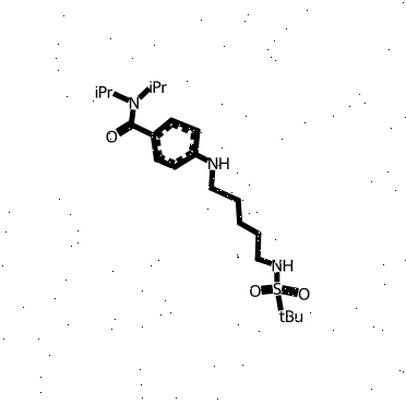 CC(C)N(C(=O)c1ccc(NCCCCCNS(=O)(=O)C(C)(C)C)cc1)C(C)C